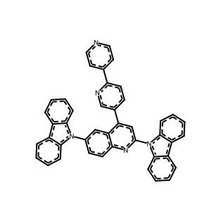 c1ccc2c(c1)c1ccccc1n2-c1ccc2nc(-n3c4ccccc4c4ccccc43)cc(-c3ccc(-c4ccncc4)nc3)c2c1